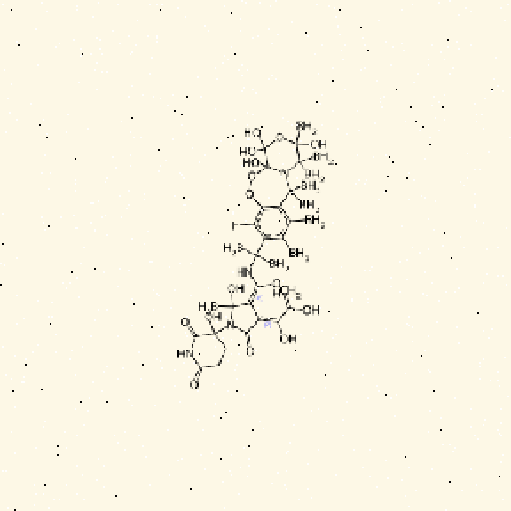 Bc1c(B)c2c(c(F)c1C(B)(B)N/C(O)=C1/C(=C(/O)C(=C)O)C(=O)N(C3(O)CCC(=O)NC3=O)C1(B)O)OOC1(O)N(C2(B)B)C(B)(B)C(B)(O)OC1(O)O